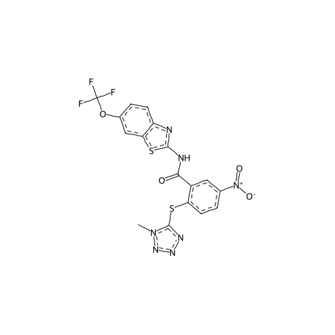 Cn1nnnc1Sc1ccc([N+](=O)[O-])cc1C(=O)Nc1nc2ccc(OC(F)(F)F)cc2s1